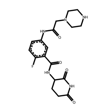 O=C1CCC(NC(=O)c2cc(NC(=O)CN3CCNCC3)ccc2F)C(=O)N1